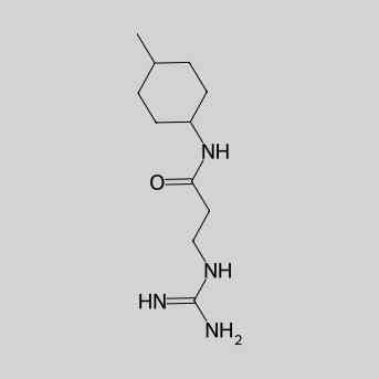 CC1CCC(NC(=O)CCNC(=N)N)CC1